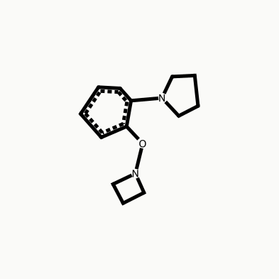 c1ccc(N2CCCC2)c(ON2CCC2)c1